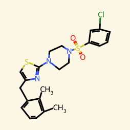 Cc1cccc(Cc2csc(N3CCN(S(=O)(=O)c4cccc(Cl)c4)CC3)n2)c1C